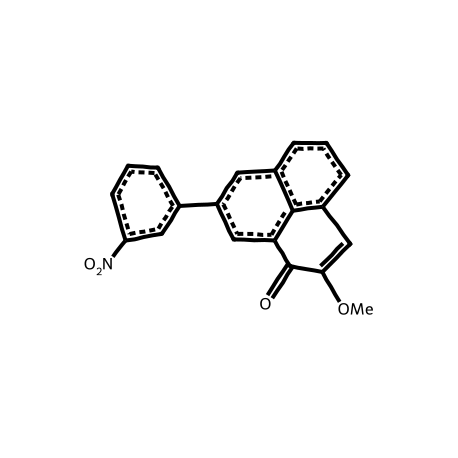 COC1=Cc2cccc3cc(-c4cccc([N+](=O)[O-])c4)cc(c23)C1=O